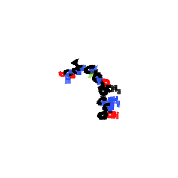 Cc1cc([C@H]2CCCN(c3cc(-c4ccccc4O)nnc3N)C2)ccc1C(=O)N1CCC(F)(CN2CCC(n3cc(C4CC4)c4cc(N5CCC(=O)NC5=O)cnc43)CC2)CC1